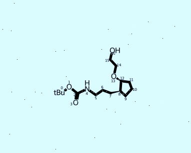 CC(C)(C)OC(=O)NCCC[C@@H]1CCC[C@@H]1OCCO